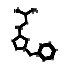 CC(O)CNC1CCN(Cc2ccccc2)C1